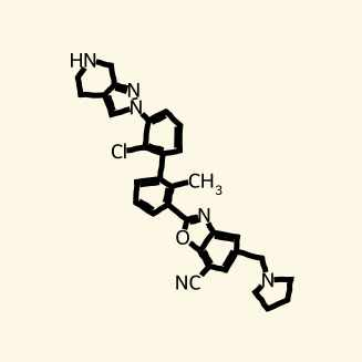 Cc1c(-c2nc3cc(CN4CCCC4)cc(C#N)c3o2)cccc1-c1cccc(-n2cc3c(n2)CNCC3)c1Cl